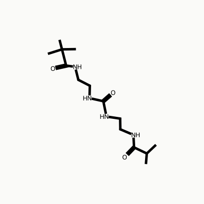 CC(C)C(=O)NCCNC(=O)NCCNC(=O)C(C)(C)C